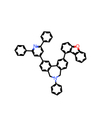 c1ccc(-c2cc(-c3ccc4c(c3)-c3cc(-c5cccc6oc7ccccc7c56)ccc3CN(c3ccccc3)C4)cc(-c3ccccc3)n2)cc1